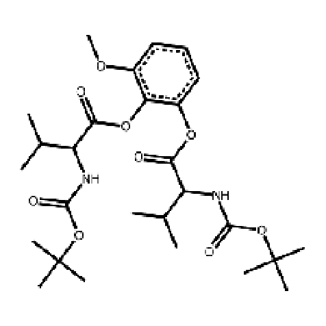 COc1cccc(OC(=O)C(NC(=O)OC(C)(C)C)C(C)C)c1OC(=O)C(NC(=O)OC(C)(C)C)C(C)C